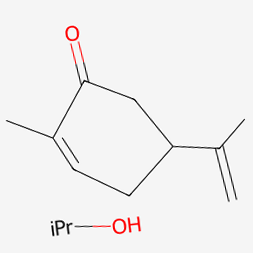 C=C(C)C1CC=C(C)C(=O)C1.CC(C)O